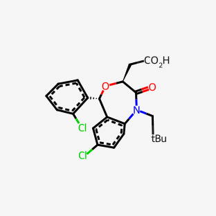 CC(C)(C)CN1C(=O)[C@H](CC(=O)O)O[C@@H](c2ccccc2Cl)c2cc(Cl)ccc21